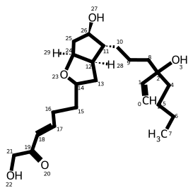 C=CC(O)(CCCC)CCC[C@@H]1[C@H]2CC(CCC=CC(=O)CO)O[C@H]2C[C@H]1O